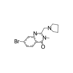 Cn1c(CN2CCCC2)nc2cc(Br)ccc2c1=O